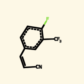 N#C/C=C\c1ccc(F)c(C(F)(F)F)c1